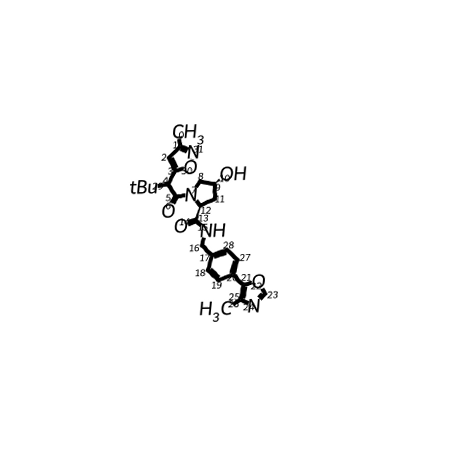 Cc1cc(C(C(=O)N2C[C@H](O)C[C@H]2C(=O)NCc2ccc(-c3ocnc3C)cc2)C(C)(C)C)on1